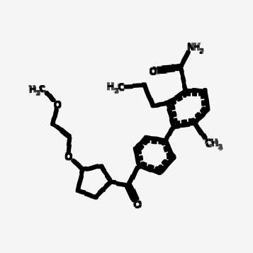 CCCc1c(C(N)=O)ccc(C)c1-c1ccc(C(=O)C2CCC(OCCOC)C2)cc1